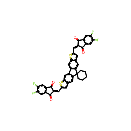 O=C1C(=Cc2cc3cc4c(cc3s2)-c2cc3sc(C=C5C(=O)c6cc(F)c(F)cc6C5=O)cc3cc2C42CCCCC2)C(=O)c2cc(F)c(F)cc21